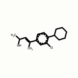 C/C(=C\C(C)O)c1ccc(C2CCCCC2)c(Cl)c1